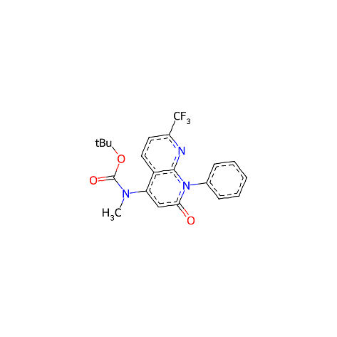 CN(C(=O)OC(C)(C)C)c1cc(=O)n(-c2ccccc2)c2nc(C(F)(F)F)ccc12